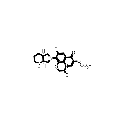 CC1COc2c(N3C[C@@H]4CCCN[C@@H]4C3)c(F)cc3c(=O)c(OC(=O)O)cn1c23